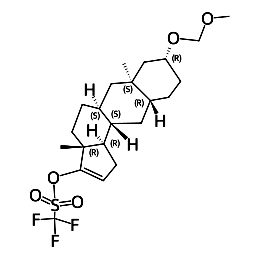 COCO[C@@H]1CC[C@@H]2C[C@H]3[C@@H](CC[C@@]4(C)C(OS(=O)(=O)C(F)(F)F)=CC[C@H]34)C[C@@]2(C)C1